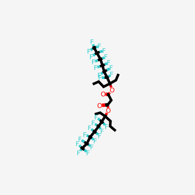 CCCC(CC)(OC(=O)CC(=O)OC(CC)(CCC)C(F)(F)C(F)(F)C(F)(F)C(F)(F)C(F)(F)C(F)(F)F)C(F)(F)C(F)(F)C(F)(F)C(F)(F)C(F)(F)C(F)(F)F